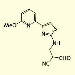 COc1cccc(-c2csc(NCC(C#N)C=O)n2)n1